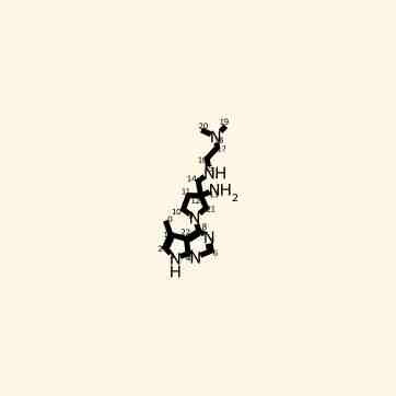 Cc1c[nH]c2ncnc(N3CCC(N)(CNCCN(C)C)C3)c12